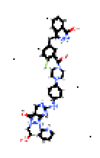 O=C(c1cc(Cc2n[nH]c(=O)c3ccccc23)ccc1F)N1CCN(c2ccc(Nc3ncc4c(=O)n(CCO)n(-c5ccccn5)c4n3)cc2)CC1